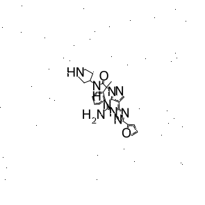 CC(C(=O)NC1CCNCC1)(c1ccccc1)n1ncc2c1nc(N)n1nc(-c3ccco3)nc21